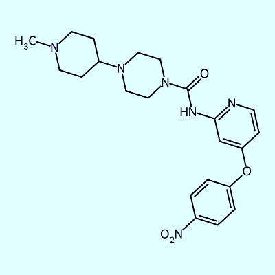 CN1CCC(N2CCN(C(=O)Nc3cc(Oc4ccc([N+](=O)[O-])cc4)ccn3)CC2)CC1